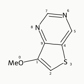 COc1csc2cncnc12